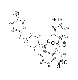 CCc1ccc(CN2CCN(C(=O)c3cccc4c3C(S(=O)(=O)c3ccccc3)CS4(=O)=O)CC2)cc1.Cl